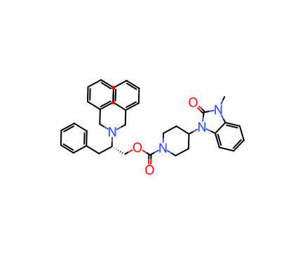 Cn1c(=O)n(C2CCN(C(=O)OC[C@H](Cc3ccccc3)N(Cc3ccccc3)Cc3ccccc3)CC2)c2ccccc21